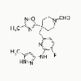 Cc1noc(C2(Cc3ccc(F)c(Nc4cc(C)[nH]n4)n3)CCN(C=O)CC2)n1